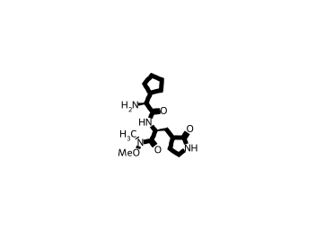 CON(C)C(=O)[C@H](CC1CCNC1=O)NC(=O)[C@@H](N)C1CCCC1